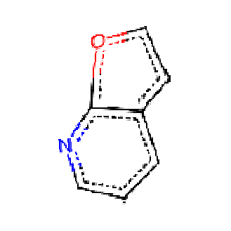 [c]1cnc2occc2c1